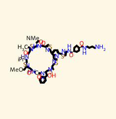 CNC(=O)C[C@@H]1NC(=O)c2csc(n2)-c2ccc(-c3nc(NC(=O)[C@H]4CC[C@H](C(=O)NCCCCN)CC4)cs3)nc2-c2csc(n2)-c2csc(n2)[C@H]([C@@H](O)c2ccccc2)NC(=O)CNC(=O)c2nc(sc2COC)[C@H](C(C)C)NC(=O)c2nc1sc2C